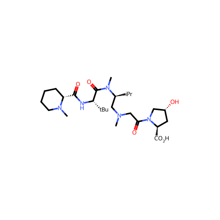 CC(C)[C@@H](CN(C)CC(=O)N1C[C@H](O)C[C@H]1C(=O)O)N(C)C(=O)[C@@H](NC(=O)[C@H]1CCCCN1C)C(C)(C)C